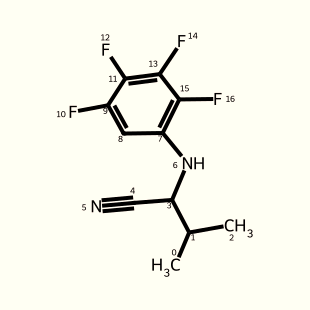 CC(C)C(C#N)Nc1cc(F)c(F)c(F)c1F